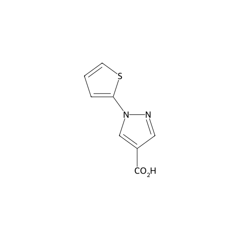 O=C(O)c1cnn(-c2cccs2)c1